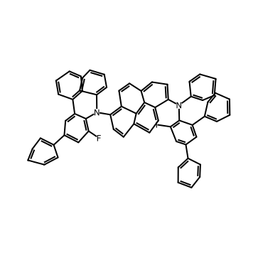 Fc1cc(-c2ccccc2)cc(-c2ccccc2)c1N(c1ccccc1)c1ccc2ccc3c(N(c4ccccc4)c4c(I)cc(-c5ccccc5)cc4-c4ccccc4)ccc4ccc1c2c43